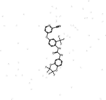 N#Cc1cc(Oc2ccc(NC(=O)Nc3ccc4c(c3)OC(F)(F)C(F)(F)O4)c(C(F)(F)F)c2)ccn1